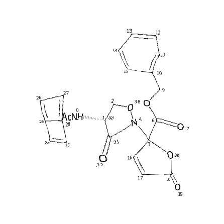 CC(=O)N[C@@H]1CON(C2(C(=O)OCc3ccccc3)C=CC(=O)O2)C1=O.c1cc2ccc1-2